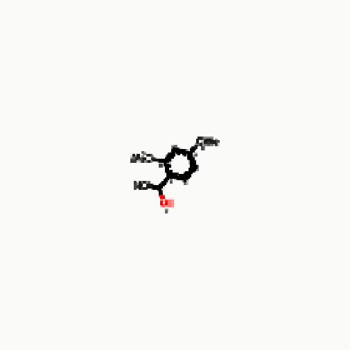 COc1ccc(C(O)C#N)c(OC)c1